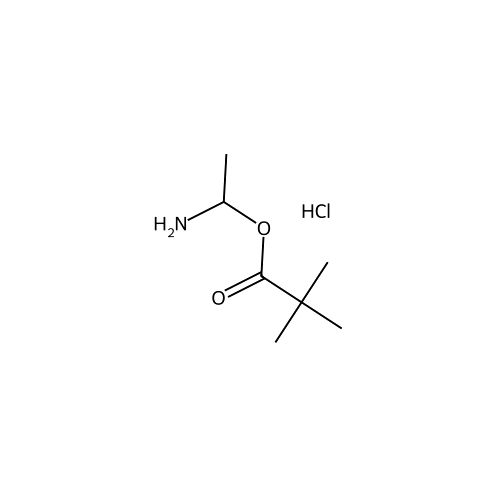 CC(N)OC(=O)C(C)(C)C.Cl